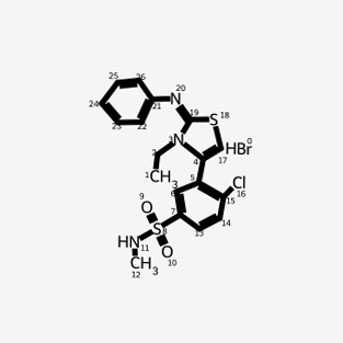 Br.CCn1c(-c2cc(S(=O)(=O)NC)ccc2Cl)cs/c1=N/c1ccccc1